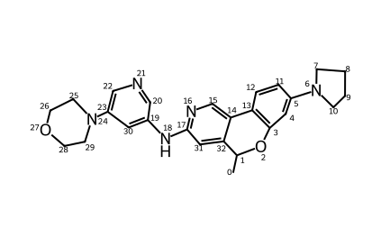 CC1Oc2cc(N3CCCC3)ccc2-c2cnc(Nc3cncc(N4CCOCC4)c3)cc21